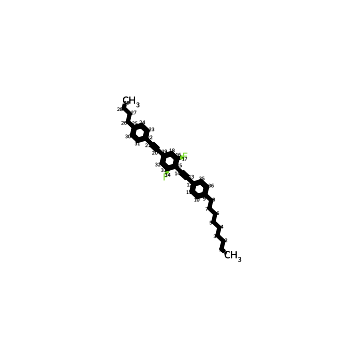 CCCCCCCCCc1ccc(C#Cc2c(F)cc(C#Cc3ccc(CCCC)cc3)cc2F)cc1